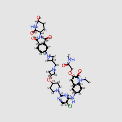 CCn1c(=O)c(OCC(=O)NC)cc2cc(Nc3nc(N4CCC(OC5CN(CC6CN(c7ccc8c(c7)C(=O)N(C7CCC(=O)NC7=O)C8=O)C6)C5)CC4)ncc3Cl)ccc21